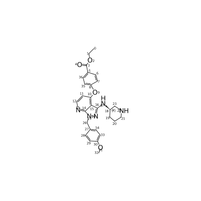 CCOC(=O)c1ccc(Oc2ccnc3c2c(N[C@@H]2CCCNC2)nn3Cc2ccc(OC)cc2)cc1